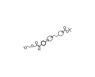 COCCOCC(=O)Nc1ccc(N2CCN(CCC3CCN(C(=O)OC(C)(C)C)CC3)CC2)cc1